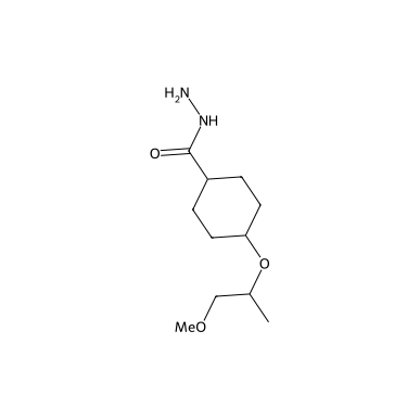 COCC(C)OC1CCC(C(=O)NN)CC1